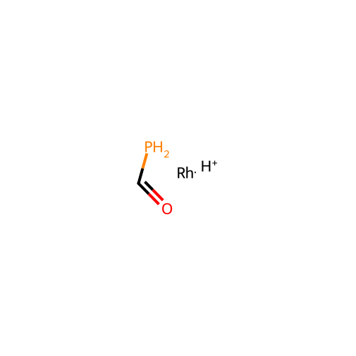 O=CP.[H+].[Rh]